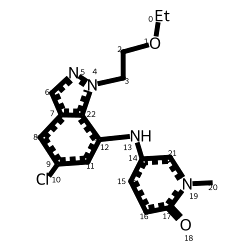 CCOCCn1ncc2cc(Cl)cc(Nc3ccc(=O)n(C)c3)c21